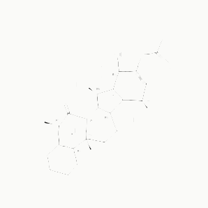 CC(=O)OC1=C[C@@H](C)C2[C@@H]([C@H](O)C3[C@@H]4C(=O)[C@H](O)C5CCCC[C@]5(C)[C@H]4CC[C@@]32C)[C@@]1(C)O